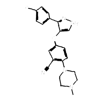 CN1CCN(c2ccc(Oc3c[nH]nc3-c3ccc(F)cc3)cc2C#N)CC1